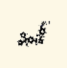 Cn1c(C2(NC(=O)c3ccc4c(C5CCCC5)c(-c5ccsc5)n(C)c4c3)CCC2)nc2ccc(/C=C/C(=O)O)cc21